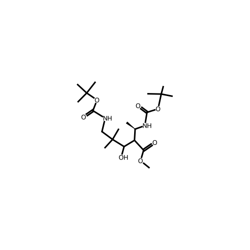 COC(=O)C(C(O)C(C)(C)CNC(=O)OC(C)(C)C)[C@@H](C)NC(=O)OC(C)(C)C